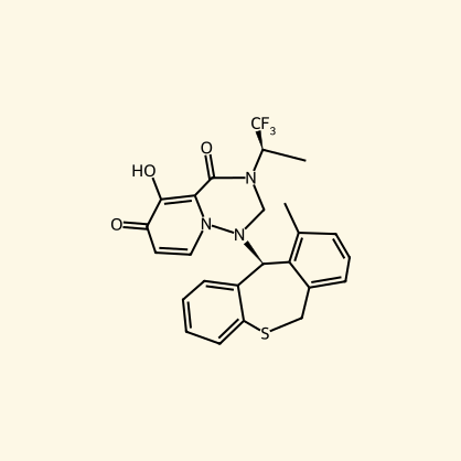 Cc1cccc2c1[C@H](N1CN([C@H](C)C(F)(F)F)C(=O)c3c(O)c(=O)ccn31)c1ccccc1SC2